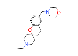 CCN1CCC2(CCc3cc(CN4CCOCC4)ccc3O2)CC1